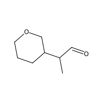 CC(C=O)C1CCCOC1